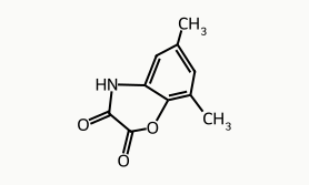 Cc1cc(C)c2oc(=O)c(=O)[nH]c2c1